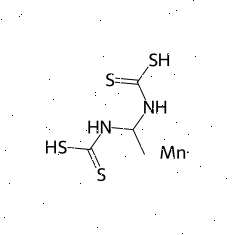 CC(NC(=S)S)NC(=S)S.[Mn]